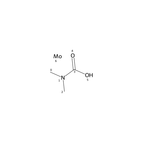 CN(C)C(=O)O.[Mo]